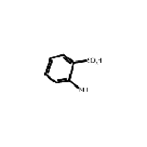 [NH]c1ccccc1S(=O)(=O)O